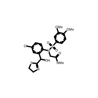 CNC(=O)CN(c1ccc(Cl)cc1C(O)C1=NCCS1)S(=O)(=O)c1ccc(OC)c(OC)c1